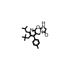 Cc1ccc(-c2c(CN3C(=O)CNC3=O)c(C)nc(CC(C)C)c2CC(C)(C)C)cc1